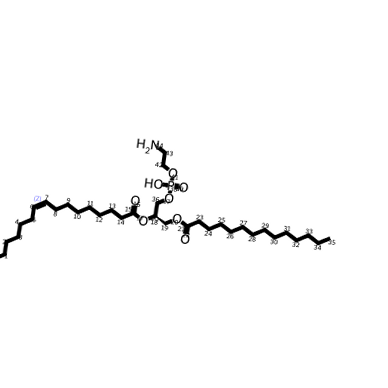 CCCCCC/C=C\CCCCCCCC(=O)O[C@H](COC(=O)CCCCCCCCCCCCC)COP(=O)(O)OCCN